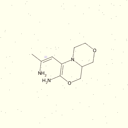 C/C(N)=C/C1=C(N)OCC2COCCN12